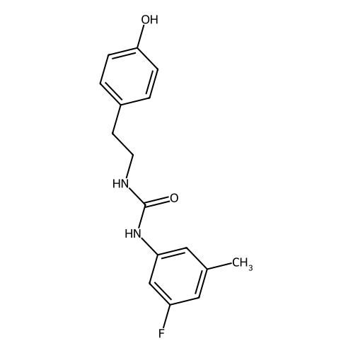 Cc1cc(F)cc(NC(=O)NCCc2ccc(O)cc2)c1